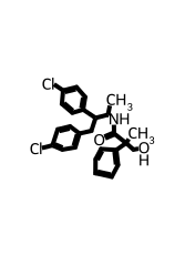 CC(NC(=O)C(C)(CO)c1ccccc1)C(Cc1ccc(Cl)cc1)c1ccc(Cl)cc1